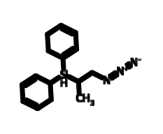 CC(CN=[N+]=[N-])[SiH](C1=CC=CCC1)C1C=CC=CC1